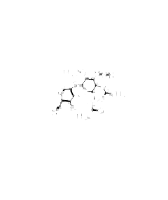 CO[C@@H]1[C@@H](N=[N+]=[N-])[C@@H](OC(C)=O)[C@@H](COC(C)=O)O[C@H]1Sc1cnc(C#N)c(Br)c1